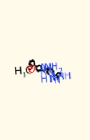 COc1ccccc1-c1ccc2[nH]c(C3(N)CCN(c4ncnc5[nH]ccc45)CC3)nc2c1